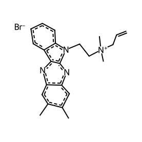 C=CC[N+](C)(C)CCn1c2ccccc2c2nc3cc(C)c(C)cc3nc21.[Br-]